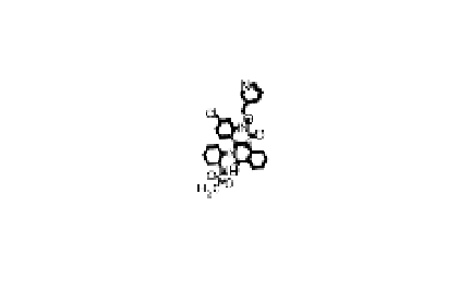 CS(=O)(=O)N[C@H]1CCCC[C@@H]1N1C(=O)c2ccccc2[C@@H](C(=O)NOCc2cccnc2)[C@@H]1c1ccc(Cl)cc1